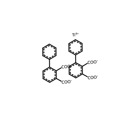 O=C([O-])c1cccc(-c2ccccc2)c1C(=O)[O-].O=C([O-])c1cccc(-c2ccccc2)c1C(=O)[O-].[Ti+4]